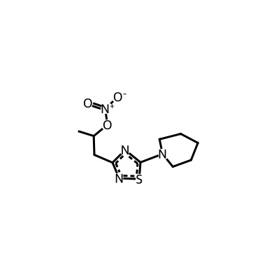 CC(Cc1nsc(N2CCCCC2)n1)O[N+](=O)[O-]